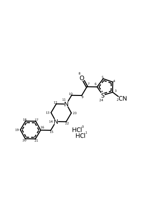 Cl.Cl.N#Cc1ccc(C(=O)CCN2CCN(Cc3ccccc3)CC2)s1